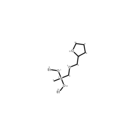 CCO[Si](C)(COCC1CCCO1)OCC